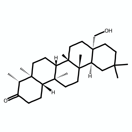 C[C@H]1C(=O)CC[C@@H]2[C@]1(C)CC[C@H]1[C@@]2(C)CC[C@@]2(C)[C@@H]3CC(C)(C)CC[C@]3(CO)CC[C@@]12C